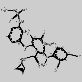 CNS(=O)(=O)Nc1cccc(Oc2c(C(=O)NC3CC3)c(N(C)c3ccc(I)cc3F)n(C)c(=O)c2C)c1